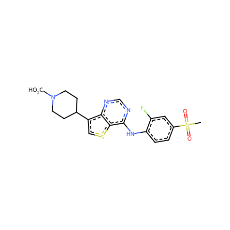 CS(=O)(=O)c1ccc(Nc2ncnc3c(C4CCN(C(=O)O)CC4)csc23)c(F)c1